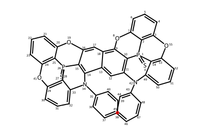 S=P12c3c4cccc3Oc3c1c(cc1c5c6c(cc31)Oc1cccc3c1P6(=S)c1c(cccc1N5c1ccccc1)O3)N(c1ccccc1)c1cccc(c12)O4